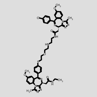 CCNC(=O)C[C@@H]1N=C(c2ccc(SCCOCCNCCNC(=O)C[C@@H]3N=C(c4ccc(Cl)cc4)c4cc(OC)ccc4-n4c(C)nnc43)cc2)c2cc(OC)ccc2-n2c(C)nnc21